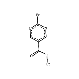 CCOC(=O)c1cnc(Br)nc1